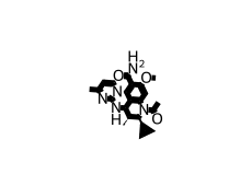 COc1cc2c(cc1C(N)=O)C(Nc1nccc(C)n1)[C@@H](C)[C@H](C1CC1)N2C(C)=O